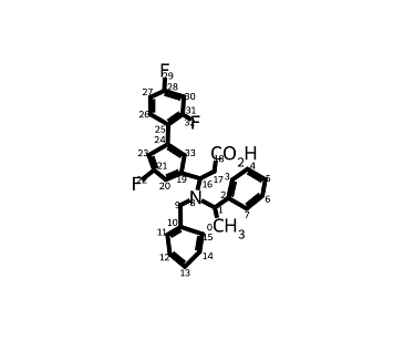 CC(c1ccccc1)N(Cc1ccccc1)C(CC(=O)O)c1cc(F)cc(-c2ccc(F)cc2F)c1